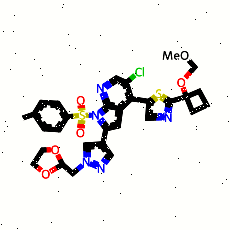 COCOC1(c2ncc(-c3c(Cl)cnc4c3cc(-c3cnn(CC5OCCO5)c3)n4S(=O)(=O)c3ccc(C)cc3)s2)CCC1